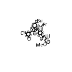 COC(=O)C[C@H](C)NC(=O)c1ccc([C@@H](CCC(C)C)N2C(=O)C(c3cc(Cl)cc(Cl)c3)=NC23CCC(C(C)(C)C)CC3)cc1